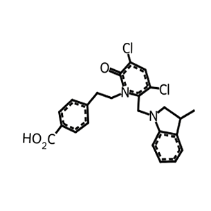 CC1CN(Cc2c(Cl)cc(Cl)c(=O)n2CCc2ccc(C(=O)O)cc2)c2ccccc21